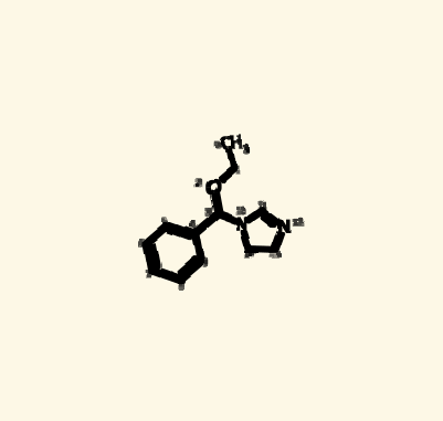 CCOC(c1ccccc1)N1C=NCC1